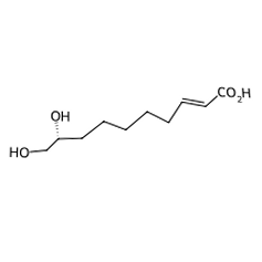 O=C(O)/C=C/CCCCC[C@@H](O)CO